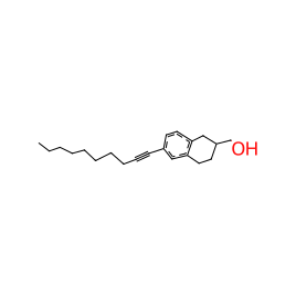 CCCCCCCCC#Cc1ccc2c(c1)CCC(CO)C2